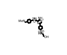 CNCc1ccc(-c2nnc(-c3nc(-c4ccc(S(=O)(=O)NCCO)cc4)cnc3N)o2)cc1